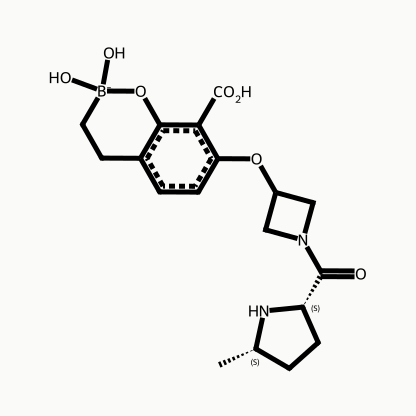 C[C@H]1CC[C@@H](C(=O)N2CC(Oc3ccc4c(c3C(=O)O)O[B-](O)(O)CC4)C2)N1